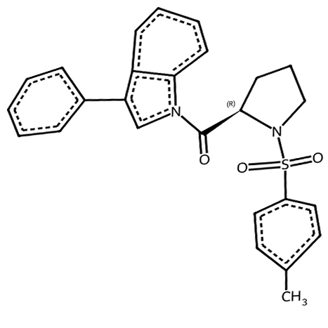 Cc1ccc(S(=O)(=O)N2CCC[C@@H]2C(=O)n2cc(-c3ccccc3)c3ccccc32)cc1